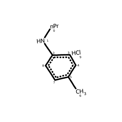 CCCNc1ccc(C)cc1.Cl